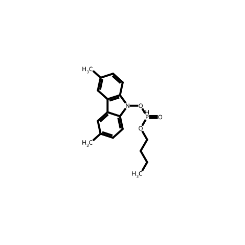 CCCCO[PH](=O)On1c2ccc(C)cc2c2cc(C)ccc21